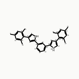 Cc1cc(C)c(-c2c[nH]c(-c3cccc(-c4cc(-c5c(C)cc(C)cc5C)c[nH]4)c3)c2)c(C)c1